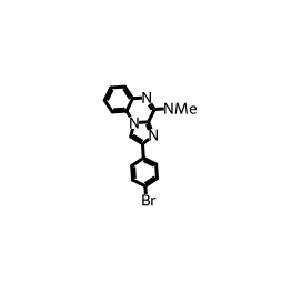 CNc1nc2ccccc2n2cc(-c3ccc(Br)cc3)nc12